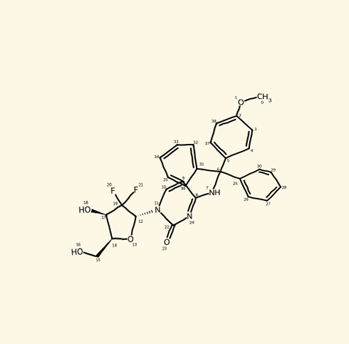 COc1ccc(C(Nc2ccn([C@@H]3O[C@@H](CO)[C@@H](O)C3(F)F)c(=O)n2)(c2ccccc2)c2ccccc2)cc1